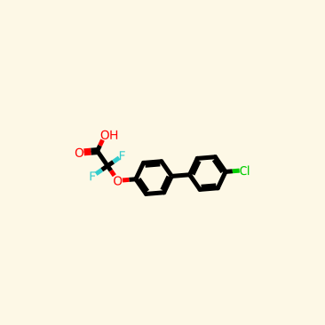 O=C(O)C(F)(F)Oc1ccc(-c2ccc(Cl)cc2)cc1